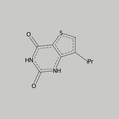 CC(C)c1csc2c(=O)[nH]c(=O)[nH]c12